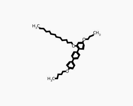 CCCCCCCCCCCCCOc1cc(OCCCC)ccc1-c1ccc(-c2ccc(OCCCCC)cc2)cc1